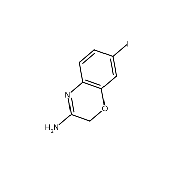 NC1=Nc2ccc(I)cc2OC1